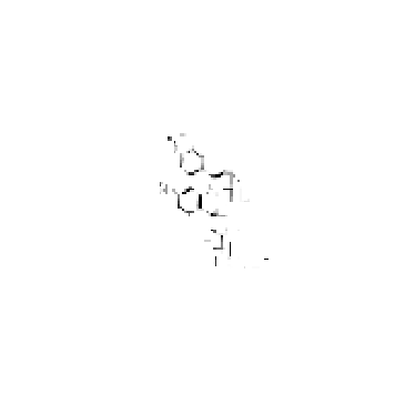 CCOC(=O)C(F)(F)C(=O)CC(=O)c1ccc(Br)cc1N/C(=C\N)c1ccc(OC(F)(F)F)cc1